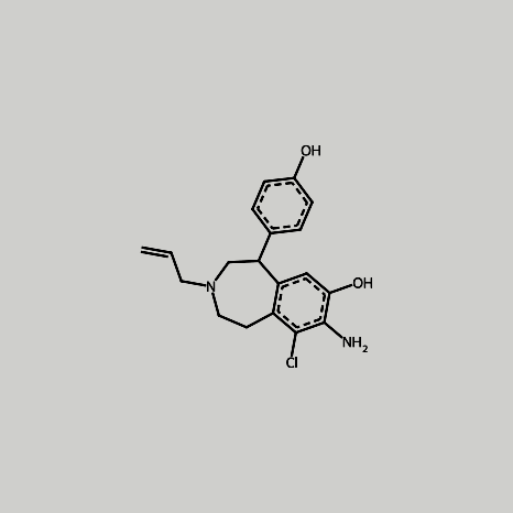 C=CCN1CCc2c(cc(O)c(N)c2Cl)C(c2ccc(O)cc2)C1